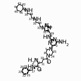 Nc1cc(N2CCN(C(=O)CC[C@H](N)C(=O)NCc3ccccc3)CC2)nc(NCc2cn(CCCNCCCNC3CCCCC3)nn2)n1